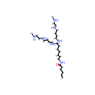 CCCCCC(=O)NCCCCCCC(NCCCCNCCNC)NCCCCNCCNC